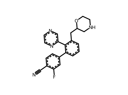 N#Cc1ccc(-c2cccc(CC3CNCCO3)c2-c2cnccn2)cc1F